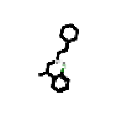 CC(C[SiH2]CCC1CCCCC1)c1ccccc1Cl